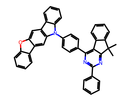 CC1(C)c2ccccc2-c2c(-c3ccc(-n4c5ccccc5c5cc6oc7ccccc7c6cc54)cc3)nc(-c3ccccc3)nc21